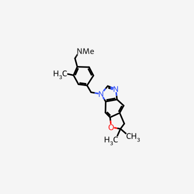 CNCc1ccc(Cn2cnc3cc4c(cc32)OC(C)(C)C4)cc1C